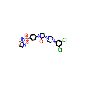 O=C1C(N2CCN(c3cc(Cl)cc(Cl)c3)CC2)CCN1c1ccc(S(=O)(=O)Nc2nccs2)cc1